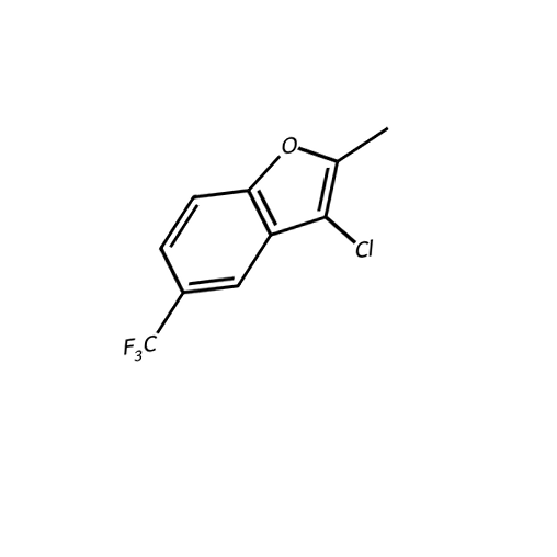 Cc1oc2ccc(C(F)(F)F)cc2c1Cl